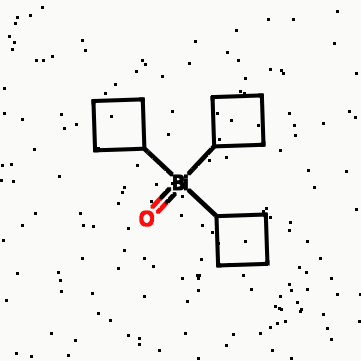 [O]=[Bi]([CH]1CCC1)([CH]1CCC1)[CH]1CCC1